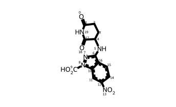 O=C1CCC(Nc2nn(C(=O)O)c3cc([N+](=O)[O-])ccc23)C(=O)N1